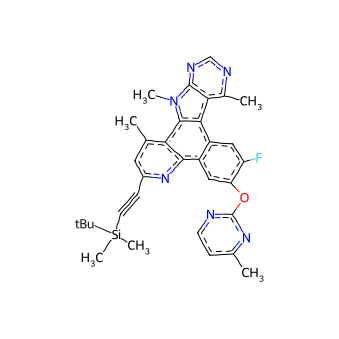 Cc1ccnc(Oc2cc3c(cc2F)c2c4c(C)ncnc4n(C)c2c2c(C)cc(C#C[Si](C)(C)C(C)(C)C)nc32)n1